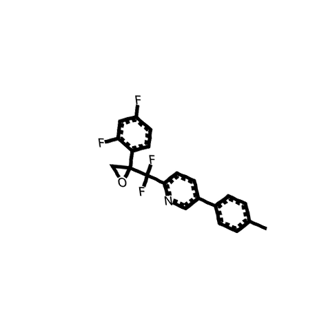 Cc1ccc(-c2ccc(C(F)(F)C3(c4ccc(F)cc4F)CO3)nc2)cc1